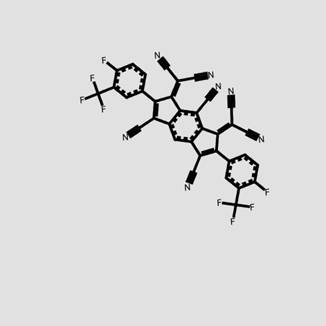 N#CC(C#N)=C1C(c2ccc(F)c(C(F)(F)F)c2)=C(C#N)c2cc3c(c(C#N)c21)C(=C(C#N)C#N)C(c1ccc(F)c(C(F)(F)F)c1)=C3C#N